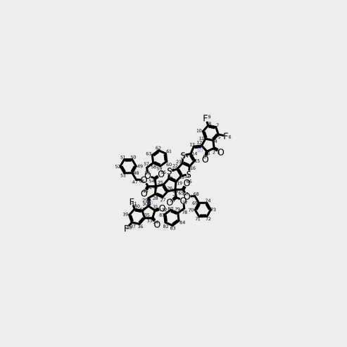 O=C1C(=O)c2c(F)cc(F)cc2/C1=C/c1cc2sc3c4c(sc3c2s1)C1=C(C=C(/C=C2\C(=O)C(=O)c3cc(F)cc(F)c32)C1(C(=O)OCc1ccccc1)C(=O)OCc1ccccc1)C4(C(=O)OCc1ccccc1)C(=O)OCc1ccccc1